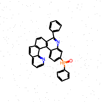 O=[PH](c1ccccc1)c1ccc2c(c1)nc(-c1ccccc1)c1ccc3ccc4cccnc4c3c12